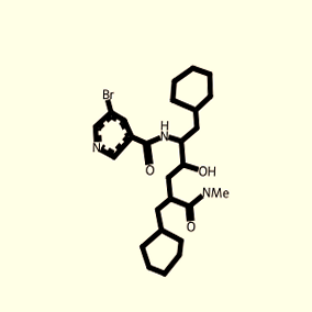 CNC(=O)C(CC1CCCCC1)CC(O)C(CC1CCCCC1)NC(=O)c1cncc(Br)c1